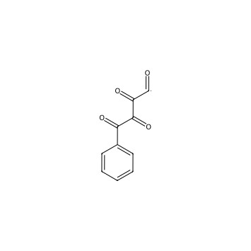 O=[C]C(=O)C(=O)C(=O)c1ccccc1